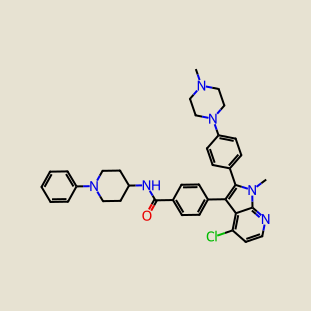 CN1CCN(c2ccc(-c3c(-c4ccc(C(=O)NC5CCN(c6ccccc6)CC5)cc4)c4c(Cl)ccnc4n3C)cc2)CC1